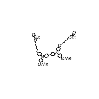 CCC1(COCCCCCCCc2ccc(N(c3ccc(OC)cc3)c3ccc(-c4ccc(N(c5ccc(OC)cc5)c5ccc(OCCCCCCOCC6(CC)COC6)cc5)cc4)cc3)cc2)COC1